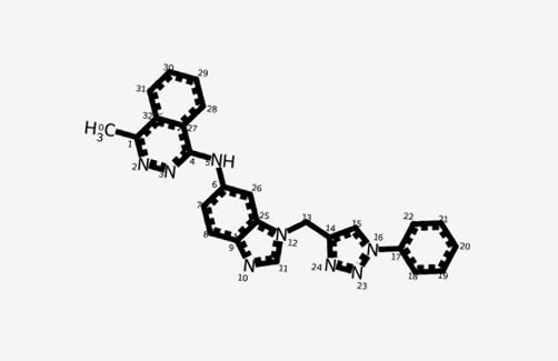 Cc1nnc(Nc2ccc3ncn(Cc4cn(-c5ccccc5)nn4)c3c2)c2ccccc12